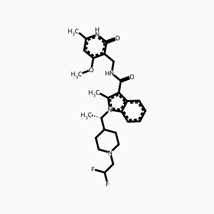 COc1cc(C)[nH]c(=O)c1CNC(=O)c1c(C)n([C@@H](C)C2CCN(CC(F)F)CC2)c2ccccc12